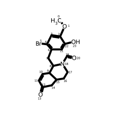 COc1cc(Br)c(CC2C3C=CC(=O)CC3CCN2C=O)cc1O